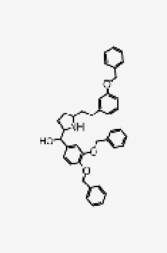 OC(c1ccc(OCc2ccccc2)c(OCc2ccccc2)c1)C1CCC(CCc2cccc(OCc3ccccc3)c2)N1